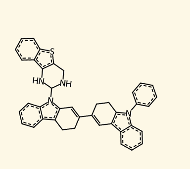 C1=C(C2=Cc3c(n(-c4ccccc4)c4ccccc34)CC2)CCc2c1n(C1NCc3sc4ccccc4c3N1)c1ccccc21